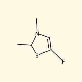 CC1SC(F)=CN1C